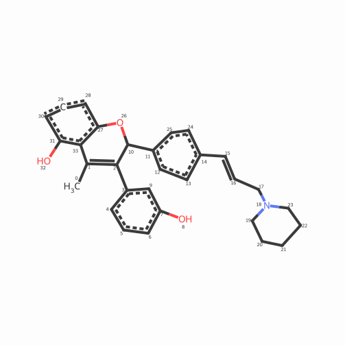 CC1=C(c2cccc(O)c2)C(c2ccc(C=CCN3CCCCC3)cc2)Oc2cccc(O)c21